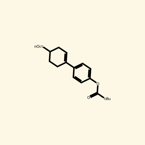 CCCCCCCCC1CC=C(c2ccc(OC(=O)CCCC)cc2)CC1